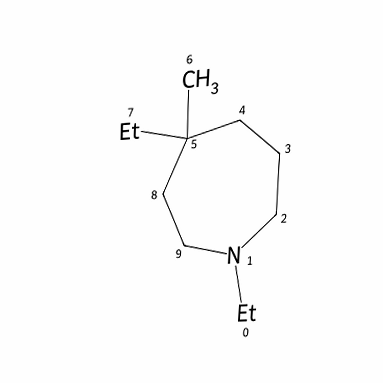 CCN1CCCC(C)(CC)CC1